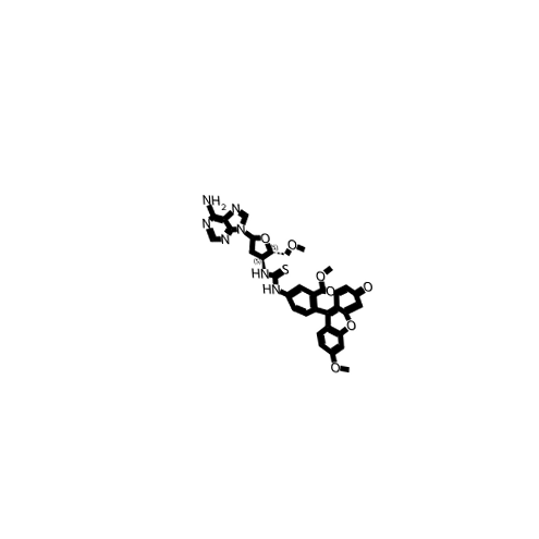 COC[C@H]1OC(n2cnc3c(N)ncnc32)C[C@@H]1NC(=S)Nc1ccc(-c2c3ccc(=O)cc-3oc3cc(OC)ccc23)c(C(=O)OC)c1